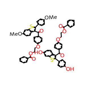 COc1ccc(-c2sc3cc(OC)ccc3c2C(=O)c2ccc(OCCOC(=O)c3ccccc3)cc2)cc1.O=C(OCCOc1ccc(C(=O)c2c(-c3ccc(O)cc3)sc3cc(O)ccc23)cc1)c1ccccc1